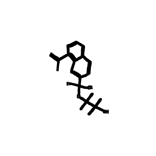 C=C(C)c1cccc2ccc(C(CC)(CC)OC(C)(C)C(C)(C)O)cc12